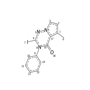 Cc1ccn2nc(I)n(-c3ccccc3)c(=O)c12